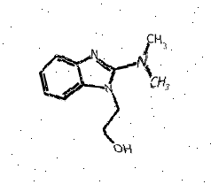 CN(C)c1nc2ccccc2n1CCO